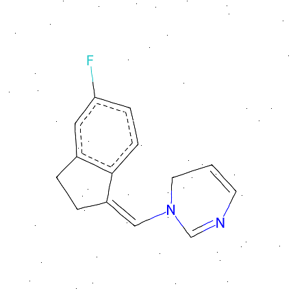 Fc1ccc2c(c1)CC/C2=C/N1C=NC=CC1